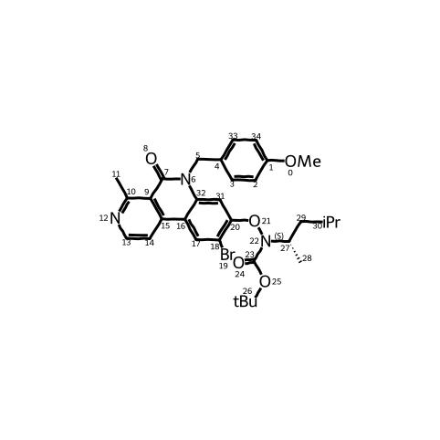 COc1ccc(Cn2c(=O)c3c(C)nccc3c3cc(Br)c(ON(C(=O)OC(C)(C)C)[C@@H](C)CC(C)C)cc32)cc1